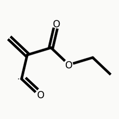 C=C([C]=O)C(=O)OCC